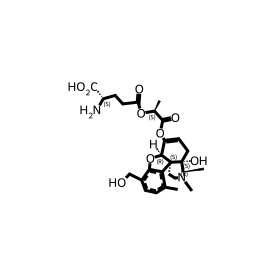 Cc1ccc(CO)c2c1[C@]13CCN(C)[C@H](C)[C@]1(O)CC=C(OC(=O)[C@H](C)OC(=O)CC[C@H](N)C(=O)O)[C@@H]3O2